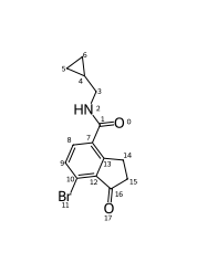 O=C(NCC1CC1)c1ccc(Br)c2c1CCC2=O